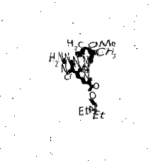 CCN(CC)CCOCC(=O)c1c[nH]c(C=C2C(=O)N(Cc3ncc(C)c(OC)c3C)c3nc(N)nc(Cl)c32)c1